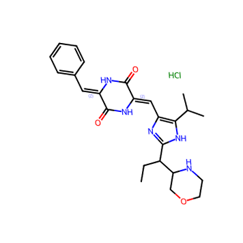 CCC(c1nc(/C=c2\[nH]c(=O)/c(=C/c3ccccc3)[nH]c2=O)c(C(C)C)[nH]1)C1COCCN1.Cl